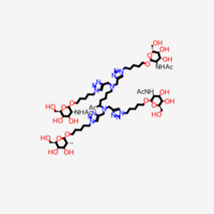 CC(=O)N[C@H]1[C@H](OCCCCCn2cc(CN(CCCCC(C(C)=O)N(Cc3cn(CCCCCO[C@@H]4O[C@H](CO)[C@H](O)[C@H](O)[C@H]4C)nn3)Cc3cn(CCCCCO[C@@H]4O[C@H](CO)[C@H](O)[C@H](O)[C@H]4NC(C)=O)nn3)Cc3cn(CCCCCO[C@@H]4O[C@H](CO)[C@H](O)[C@H](O)[C@H]4NC(C)=O)nn3)nn2)O[C@H](CO)[C@H](O)[C@@H]1O